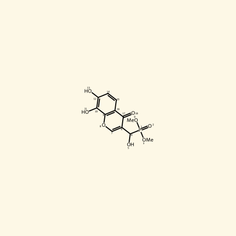 COP(=O)(OC)C(O)c1coc2c(O)c(O)ccc2c1=O